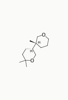 CC1(C)CC[C@H]([C@@]2(C)CCCOC2)CO1